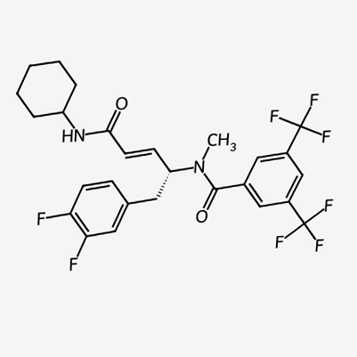 CN(C(=O)c1cc(C(F)(F)F)cc(C(F)(F)F)c1)[C@@H](C=CC(=O)NC1CCCCC1)Cc1ccc(F)c(F)c1